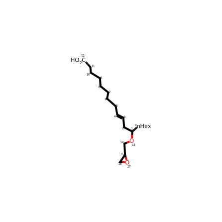 CCCCCCC(CC=CCCCCCCCC(=O)O)OCC1CO1